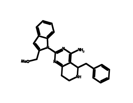 COCc1cc2ccccc2n1-c1nc(N)c2c(n1)CCNC2Cc1ccccc1